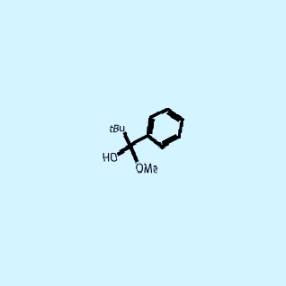 COC(O)(c1ccccc1)C(C)(C)C